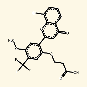 COc1cc(-c2cc(=O)c3cccc(Cl)c3o2)c(OCCC(=O)O)cc1C(F)(F)F